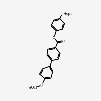 CCCCCCCCOc1ccc(-c2ccc(C(=O)Oc3ccc(CCCCCCC)cc3)cc2)cc1